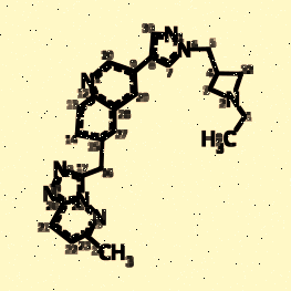 CCN1CC(Cn2cc(-c3cnc4ccc(Cc5nnc6ccc(C)nn56)cc4c3)cn2)C1